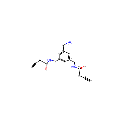 C#CCC(=O)NCc1cc(CN)cc(CNC(=O)CC#C)c1